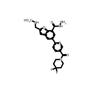 NNC(=O)c1cc(-c2ccc(C(=O)N3CCC(F)(F)CC3)cn2)cc2cc(CNC(=O)O)oc12